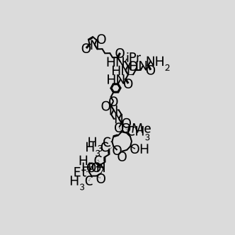 CC[C@H](O)[C@@H](C)[C@H]1O[C@@H]1C[C@@](C)(O)/C=C/C=C(\C)[C@H]1OC(=O)C[C@H](O)CC[C@@](C)(OC)[C@@H](OC(=O)N2CCN(C(=O)OCc3ccc(NC(=O)[C@H](CCCNC(N)=O)NC(=O)[C@@H](NC(=O)CCCCCN4C(=O)C=CC4=O)C(C)C)cc3)CC2)/C=C/[C@@H]1C